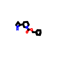 O=C(OCc1ccccc1)N1CCCC(C2CCN2)C1